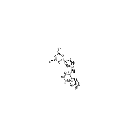 Fc1cc(F)cc(-n2cnc(Nc3cccc4c3OC(F)(F)O4)n2)c1